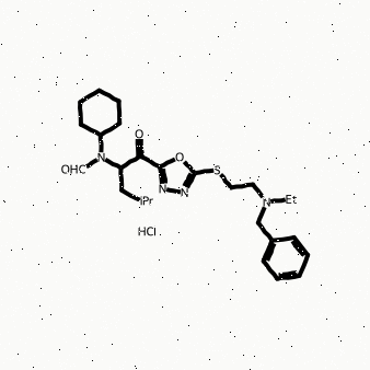 CCN(CCSc1nnc(C(=O)C(CC(C)C)N(C=O)C2CCCCC2)o1)Cc1ccccc1.Cl